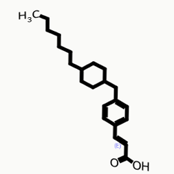 CCCCCCCC1CCC(Cc2ccc(/C=C/C(=O)O)cc2)CC1